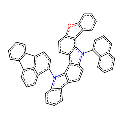 c1ccc2c(c1)-c1cccc3c(-n4c5ccccc5c5ccc6c(c7ccc8oc9ccccc9c8c7n6-c6cccc7ccccc67)c54)ccc-2c13